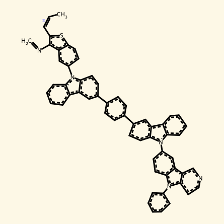 C=Nc1c(/C=C\C)sc2ccc(-n3c4ccccc4c4cc(-c5ccc(-c6ccc7c(c6)c6ccccc6n7-c6ccc7c(c6)c6cnccc6n7-c6ccccc6)cc5)ccc43)cc12